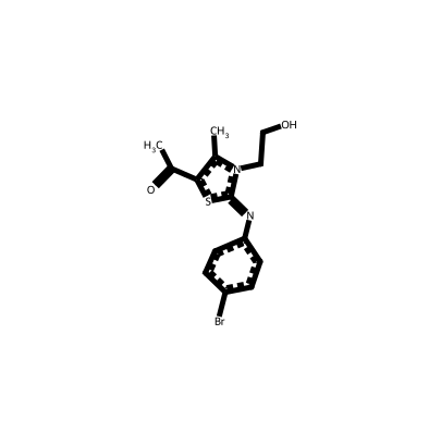 CC(=O)c1s/c(=N\c2ccc(Br)cc2)n(CCO)c1C